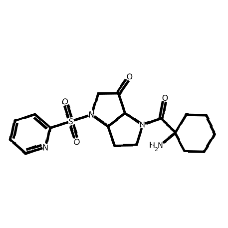 NC1(C(=O)N2CCC3C2C(=O)CN3S(=O)(=O)c2ccccn2)CCCCC1